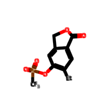 CCc1cc2c(cc1OS(=O)(=O)C(F)(F)F)COC2=O